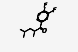 CC(C)CC(C)C(=O)c1ccc(F)c(F)c1